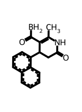 BC(=O)C1=C(C)NC(=O)CC1c1cccc2ccccc12